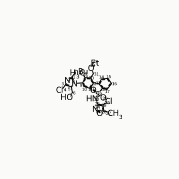 CCCCc1nc(Cl)c(CO)n1-c1ccc(-c2ccccc2S(=O)(=O)Nc2noc(C)c2Cl)c(COCC)c1C